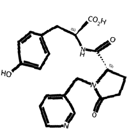 O=C(O)[C@H](Cc1ccc(O)cc1)NC(=O)[C@@H]1CCC(=O)N1Cc1cccnc1